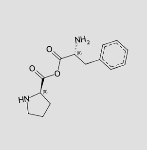 N[C@H](Cc1ccccc1)C(=O)OC(=O)[C@H]1CCCN1